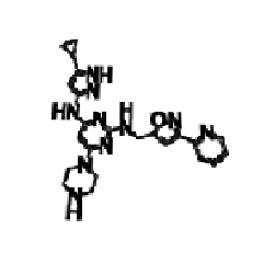 c1ccc(-c2cc(CNc3nc(Nc4cc(C5CC5)[nH]n4)cc(N4CCNCC4)n3)on2)nc1